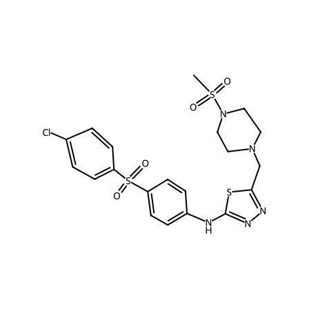 CS(=O)(=O)N1CCN(Cc2nnc(Nc3ccc(S(=O)(=O)c4ccc(Cl)cc4)cc3)s2)CC1